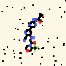 N#Cc1ncc(-c2cnc(NC(=O)C3CC3)cn2)cc1NCC(=O)N1CCOC[C@H]1C(F)(F)F